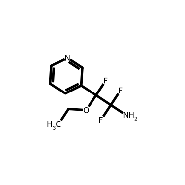 CCOC(F)(c1cccnc1)C(N)(F)F